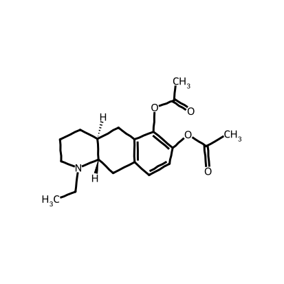 CCN1CCC[C@H]2Cc3c(ccc(OC(C)=O)c3OC(C)=O)C[C@@H]21